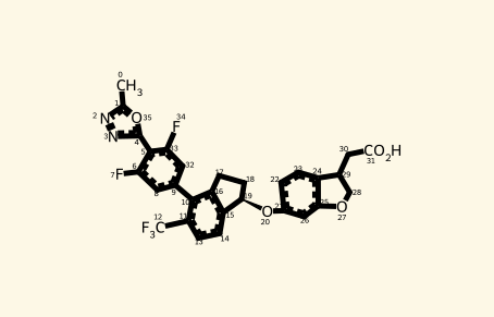 Cc1nnc(-c2c(F)cc(-c3c(C(F)(F)F)ccc4c3CC[C@H]4Oc3ccc4c(c3)OCC4CC(=O)O)cc2F)o1